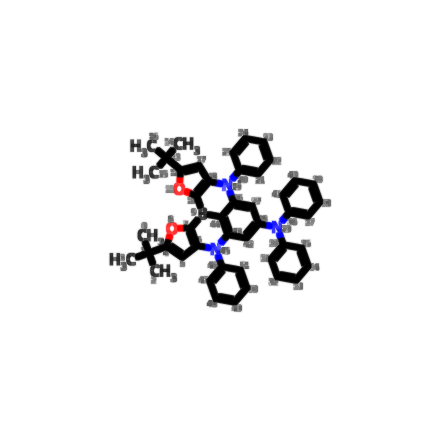 CC(C)(C)c1cc2c(o1)B1c3oc(C(C)(C)C)cc3N(c3ccccc3)c3cc(N(c4ccccc4)c4ccccc4)cc(c31)N2c1ccccc1